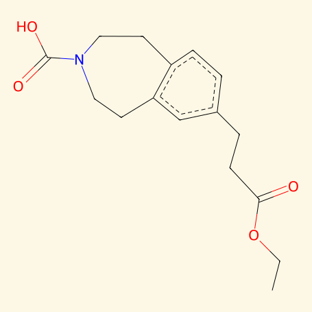 CCOC(=O)CCc1ccc2c(c1)CCN(C(=O)O)CC2